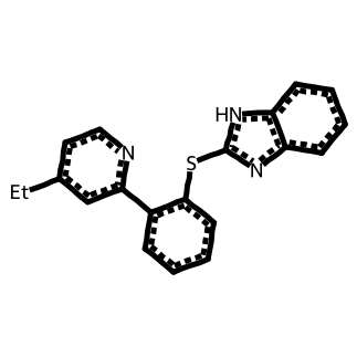 CCc1ccnc(-c2ccccc2Sc2nc3ccccc3[nH]2)c1